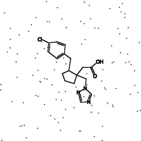 O=C(O)CC1(Cn2cncn2)CCCC1Cc1ccc(Cl)cc1